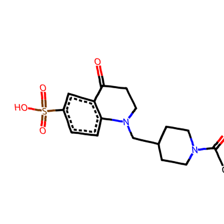 CC(=O)N1CCC(CN2CCC(=O)c3cc(S(=O)(=O)O)ccc32)CC1